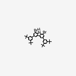 CC(C)(C)c1cc(-c2cc(Br)c3[nH]c4c(Br)cc(-c5cc(C(C)(C)C)cc(C(C)(C)C)c5)cc4c3c2)cc(C(C)(C)C)c1